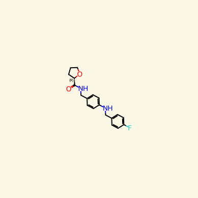 O=C(NCc1ccc(NCc2ccc(F)cc2)cc1)[C@H]1CCCO1